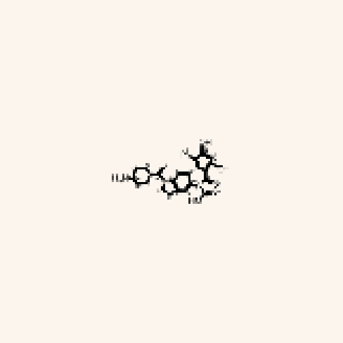 CC(C)c1cc(-c2nnc(O)n2-c2ccc3c(c2)CCN3C(=O)C2CCC(N)CC2)c(O)cc1O